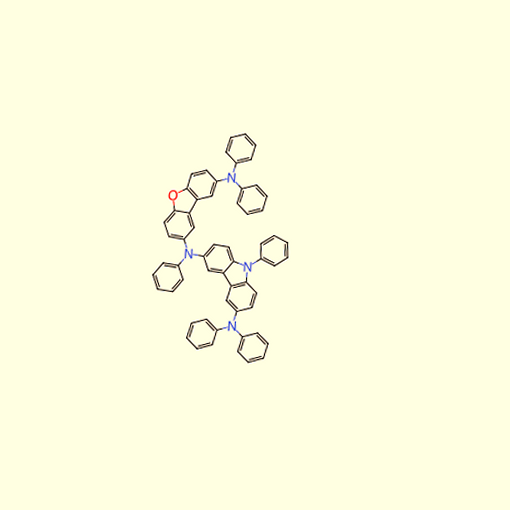 c1ccc(N(c2ccccc2)c2ccc3oc4ccc(N(c5ccccc5)c5ccc6c(c5)c5cc(N(c7ccccc7)c7ccccc7)ccc5n6-c5ccccc5)cc4c3c2)cc1